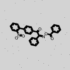 O=C(O/N=C(\C(=O)c1ccc(-c2ccccc2[N+](=O)[O-])cc1)c1ccccc1)c1ccccc1